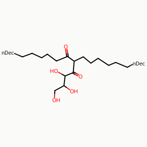 CCCCCCCCCCCCCCCCC(C(=O)CCCCCCCCCCCCCCC)C(=O)C(O)C(O)CO